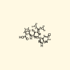 O=C(O)C1C2CCC(CC2)C1Nc1nc(-c2n[nH]c3ncc(Cl)cc23)nc(N(C2CC2)C2CC2)c1F